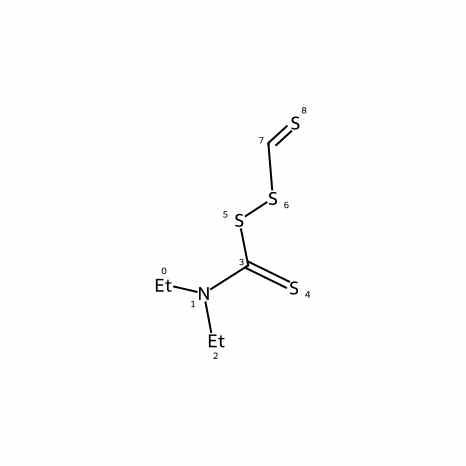 CCN(CC)C(=S)SSC=S